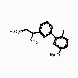 CCOC(=O)C[C@H](N)c1cccc(-c2cc(OC)ccc2C)c1